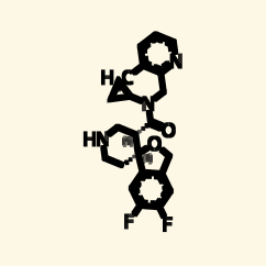 Cc1cccnc1CN(C(=O)[C@H]1CNCC[C@@]12OCc1cc(F)c(F)cc12)C1CC1